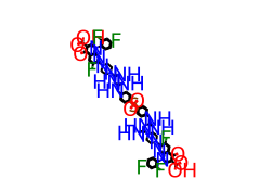 N=C(NC(=N)N1CCN(c2nc3c(cc2F)c(=O)c(C(=O)O)cn3-c2ccc(F)cc2F)CC1)Nc1ccc(S(=O)(=O)c2ccc(NC(=N)NC(=N)N3CCN(c4nc5c(cc4F)c(=O)c(C(=O)O)cn5-c4ccc(F)cc4F)CC3)cc2)cc1